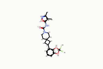 Cc1noc(NC(=O)N2CCC3(CC2)CC(c2cccc4c2OC(F)(F)O4)C3)c1C